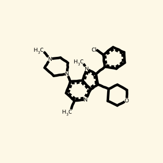 Cc1cc(N2CCN(C)CC2)c2c(n1)c(C1CCOCC1)c(-c1ccccc1Cl)n2C